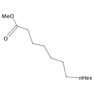 CCCCCCCCCCCCC(=O)OC